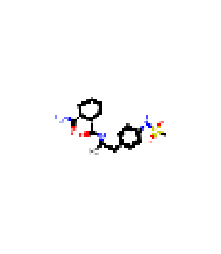 CS(=O)(=O)Nc1ccc(CC(C#N)NC(=O)[C@@H]2CCCC[C@@H]2C(N)=O)cc1